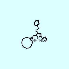 C1=C(OCc2ccccc2)/C(=C/c2[nH]c3cc2CCCCCCCCC3)N=C1c1ccc[nH]1